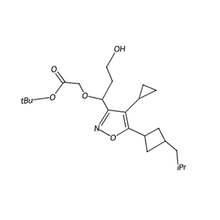 CC(C)CC1CC(c2onc(C(CCO)OCC(=O)OC(C)(C)C)c2C2CC2)C1